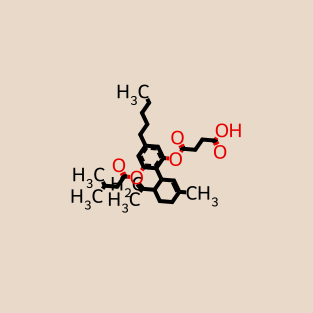 C=C(C)C1CCC(C)=CC1c1c(OC(=O)CCC(=O)O)cc(CCCCC)cc1OC(=O)CC(C)C